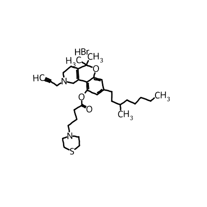 Br.C#CCN1CCC2=C(C1)c1c(OC(=O)CCCN3CCSCC3)cc(CCC(C)CCCCC)cc1OC2(C)C